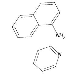 Nc1cccc2ccccc12.c1ccncc1